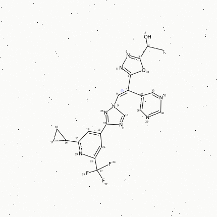 CC(O)c1nnc(/C(=C/n2cnc(-c3cc(C4CC4)nc(C(F)(F)F)c3)n2)c2cncnc2)o1